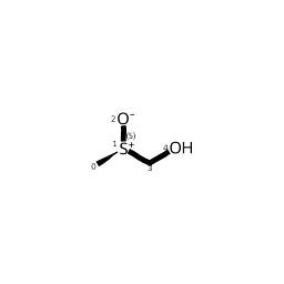 C[S@@+]([O-])CO